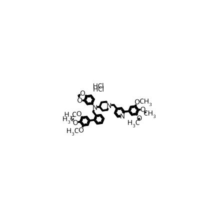 COc1cc(-c2cc(CN3CCC(N(Cc4ccccc4-c4cc(OC)c(OC)c(OC)c4)c4ccc5c(c4)OCO5)CC3)ccn2)cc(OC)c1OC.Cl.Cl